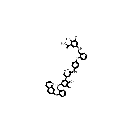 CC(=O)c1cc(NCc2ccccc2Sc2ccc(NC(=O)CC(C=O)c3cc(NCc4ccccc4Sc4ccc5cccnc5c4)cc(Cl)c3O)cc2)cc(Cl)c1O